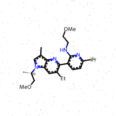 CCc1cc2c(nc1-c1ccc(C(C)C)nc1NCCOC)c(C)cn2[C@@H](C)COC